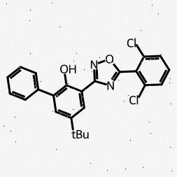 CC(C)(C)c1cc(-c2ccccc2)c(O)c(-c2noc(-c3c(Cl)cccc3Cl)n2)c1